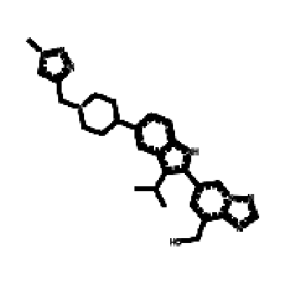 CC(C)c1c(-c2cc(CO)c3ncnn3c2)[nH]c2ccc(C3CCN(Cc4cn(C)nn4)CC3)cc12